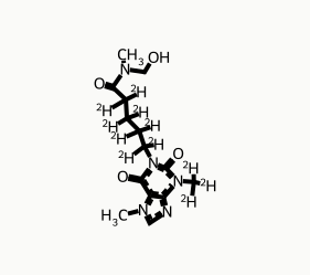 [2H]C([2H])([2H])n1c(=O)n(C([2H])([2H])C([2H])([2H])C([2H])([2H])C([2H])([2H])C(=O)N(C)CO)c(=O)c2c1ncn2C